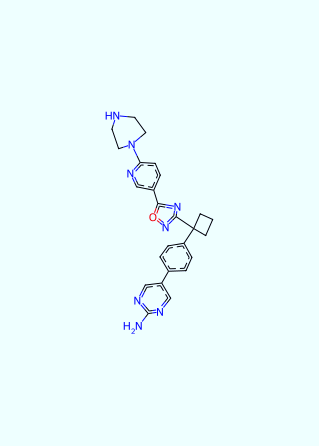 Nc1ncc(-c2ccc(C3(c4noc(-c5ccc(N6CCNCC6)nc5)n4)CCC3)cc2)cn1